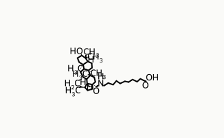 C=C(C)[C@@H]1CC[C@]2(C(=O)NCCCCCCCCCCC(=O)O)CC[C@]3(C)[C@H](CCC4[C@@]5(C)CC[C@H](O)C(C)(C)[C@@H]5CC[C@]43C)[C@@H]12